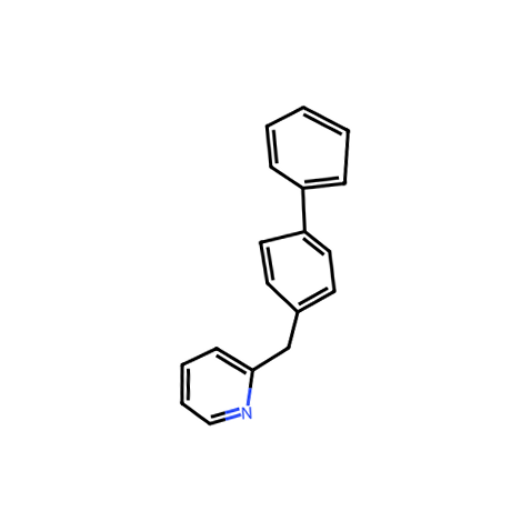 c1ccc(-c2ccc(Cc3ccccn3)cc2)cc1